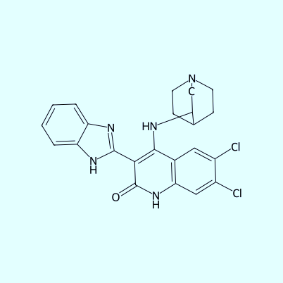 O=c1[nH]c2cc(Cl)c(Cl)cc2c(NC2CN3CCC2CC3)c1-c1nc2ccccc2[nH]1